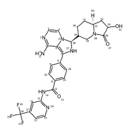 NC1=NC=CN2C1=C(c1ccc(C(=O)Nc3cc(C(F)(F)F)ccn3)cc1)N[C@@H]2C1CC[C@H]2CC(O)C(=O)N2C1